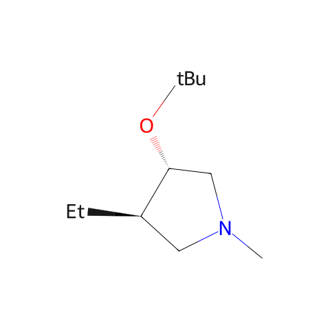 CC[C@@H]1CN(C)C[C@H]1OC(C)(C)C